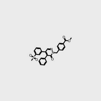 COC(=O)c1ccc(Cn2ncc(-c3cccc(S(C)(=O)=O)c3)c(-c3ccccc3)c2=O)cc1